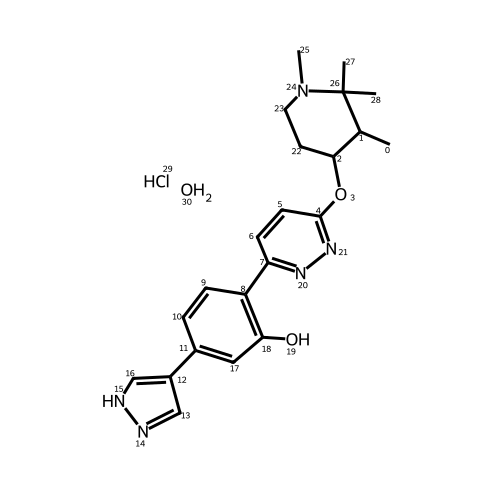 CC1C(Oc2ccc(-c3ccc(-c4cn[nH]c4)cc3O)nn2)CCN(C)C1(C)C.Cl.O